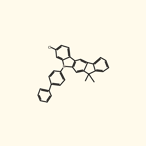 CC1(C)c2ccccc2-c2cc3c4ccc(Cl)cc4n(-c4ccc(-c5ccccc5)cc4)c3cc21